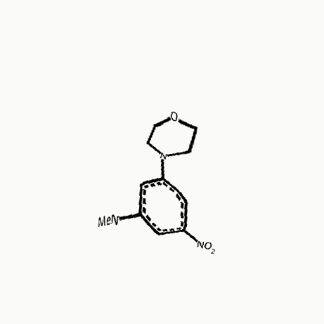 CNc1cc(N2CCOCC2)cc([N+](=O)[O-])c1